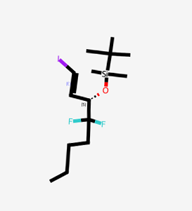 CCCCC(F)(F)[C@H](/C=C/I)O[Si](C)(C)C(C)(C)C